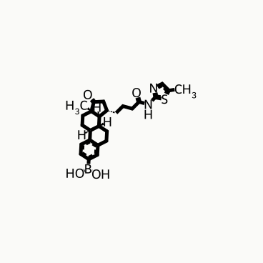 Cc1cnc(NC(=O)CCC[C@H]2CC(=O)[C@@]3(C)CC[C@@H]4c5ccc(B(O)O)cc5CC[C@H]4[C@H]23)s1